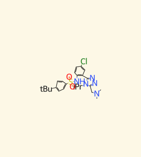 CC(C)n1c(CN(C)C)nnc1-c1cc(Cl)ccc1NS(=O)(=O)c1ccc(C(C)(C)C)cc1